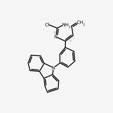 C=C/C=C(\N=C(/N)Cl)c1cccc(-n2c3ccccc3c3ccccc32)c1